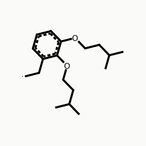 [CH2]Cc1cccc(OCCC(C)C)c1OCCC(C)C